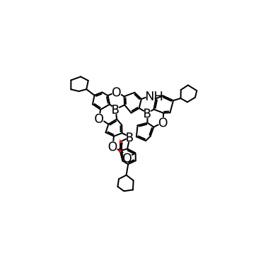 c1ccc2c(c1)Oc1cc(C3CCCCC3)cc3c1B2c1cc2c(cc1N3)Oc1cc(C3CCCCC3)cc3c1B2c1cc2c(cc1O3)Oc1cc(C3CCCCC3)cc3c1B2c1ccccc1O3